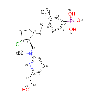 CC(C)(C)N(C[C@H]1C(Cl)CC[C@@H]1CCc1ccc(P(=O)(O)O)cc1[N+](=O)[O-])c1cccc(CCO)n1